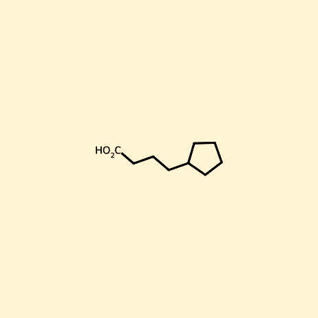 O=C(O)CCCC1CCCC1